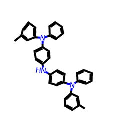 Cc1cccc(N(c2ccccc2)c2ccc(Nc3ccc(N(c4ccccc4)c4cccc(C)c4)cc3)cc2)c1